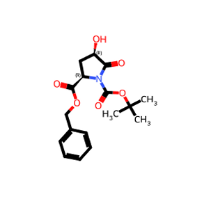 CC(C)(C)OC(=O)N1C(=O)[C@H](O)C[C@@H]1C(=O)OCc1ccccc1